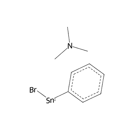 CN(C)C.[Br][Sn][c]1ccccc1